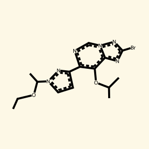 CCOC(C)n1ccc(-c2ncn3nc(Br)nc3c2OC(C)C)n1